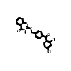 Cn1c(SCc2ccc(C(=O)c3ccc(Cl)cc3Cl)cc2)nc2ccccc2c1=O